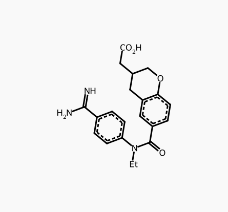 CCN(C(=O)c1ccc2c(c1)CC(CC(=O)O)CO2)c1ccc(C(=N)N)cc1